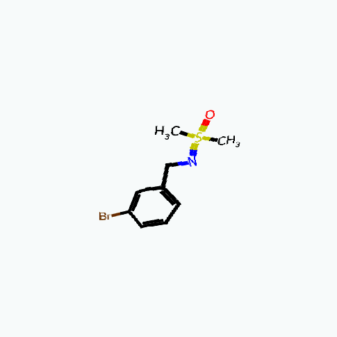 CS(C)(=O)=NCc1cccc(Br)c1